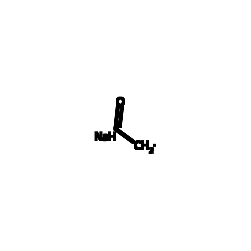 [CH2]C=O.[NaH]